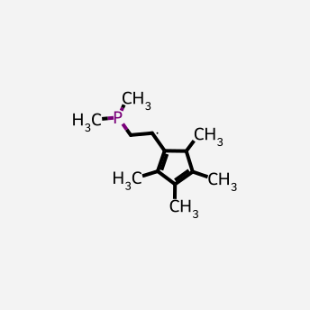 CC1=C(C)C(C)C([CH]CP(C)C)=C1C